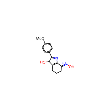 COc1ccc(C2=NC3=C(CCC/C3=N\O)C2O)cc1